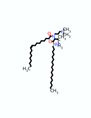 CCCCCCCC/C=C\CCCCCCCC(=O)N(CCCN(C)C)C(C(=O)NCCCCCCCCCCCCCCCCCC)C(C)C